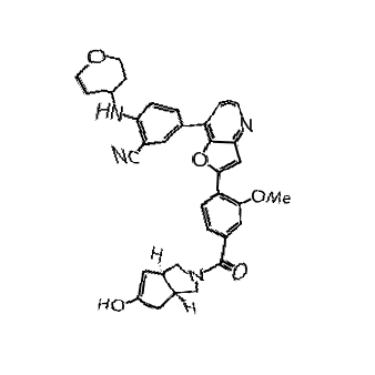 COc1cc(C(=O)N2C[C@@H]3CC(O)=C[C@H]3C2)ccc1-c1cc2nccc(-c3ccc(NC4CCOCC4)c(C#N)c3)c2o1